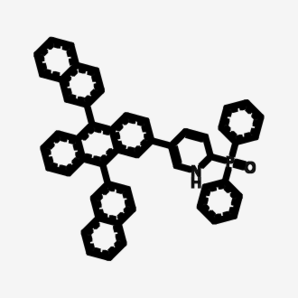 O=P(c1ccccc1)(c1ccccc1)C1C=CC(c2ccc3c(-c4ccc5ccccc5c4)c4ccccc4c(-c4ccc5ccccc5c4)c3c2)=CN1